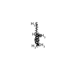 CCCCCCCCC/C=C/c1cc2nc3ccc(N(C)C)cc3sc-2cc1=[N+](C)C.[I-]